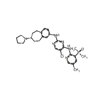 Cc1cnc(Nc2nc(Nc3ccc4c(c3)CCC(N3CCCC3)CC4)ncc2Cl)c(P(C)(C)=O)c1